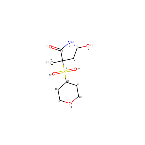 CC(CCO)(C(N)=O)S(=O)(=O)C1CCOCC1